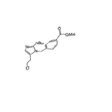 CCCCc1ncc(CCCl)n1Cc1ccc(C(=O)OC)cc1